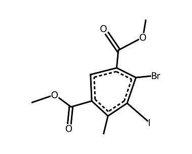 COC(=O)c1cc(C(=O)OC)c(Br)c(I)c1C